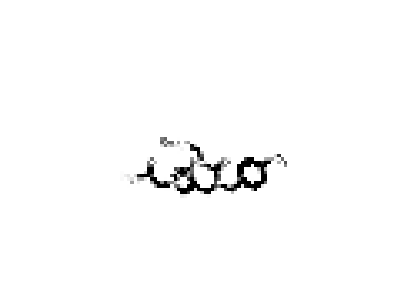 CCOC(=O)CNC(=O)N(Cc1ccc([N+](=O)[O-])cc1)Cc1cn(CC(N)=O)nn1